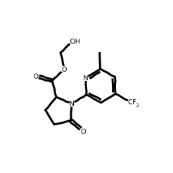 Cc1cc(C(F)(F)F)cc(N2C(=O)CCC2C(=O)OCO)n1